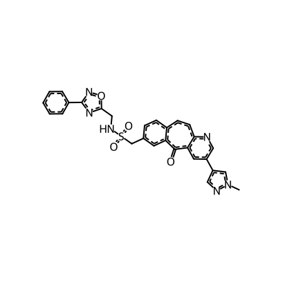 Cn1cc(-c2cnc3ccc4ccc(CS(=O)(=O)NCc5nc(-c6ccccc6)no5)cc4c(=O)c3c2)cn1